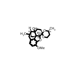 COc1ccc2c3c1O[C@H]1[C@@]4(CCC5(O)[C@@H](C2)N(C)CC[C@]315)OCC[C@@H](C)O4